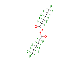 O=C(OOC(=O)C(F)(F)C(F)(F)C(F)(Cl)C(F)(Cl)C(F)(F)Cl)C(F)(F)C(F)(F)C(F)(Cl)C(F)(Cl)C(F)(F)Cl